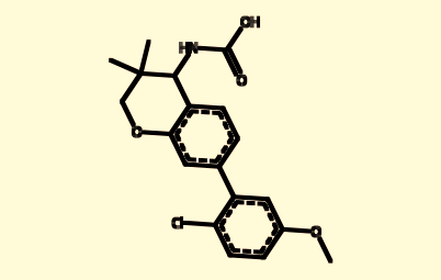 COc1ccc(Cl)c(-c2ccc3c(c2)OCC(C)(C)C3NC(=O)O)c1